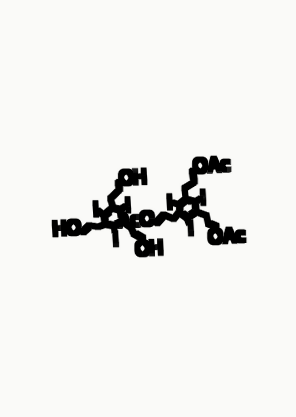 CC(=O)OC=CCc1c(I)c(CC=COC(C)=O)c(I)c(CC=COC(C)=O)c1I.OC=CCc1c(I)c(CC=CO)c(I)c(CC=CO)c1I